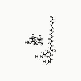 CCCCCCCCCCCCCCCC(=O)N(CCCN)CCCN.O=C(O)C(F)(F)F.O=C(O)C(F)(F)F